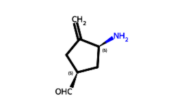 C=C1C[C@H](C=O)C[C@@H]1N